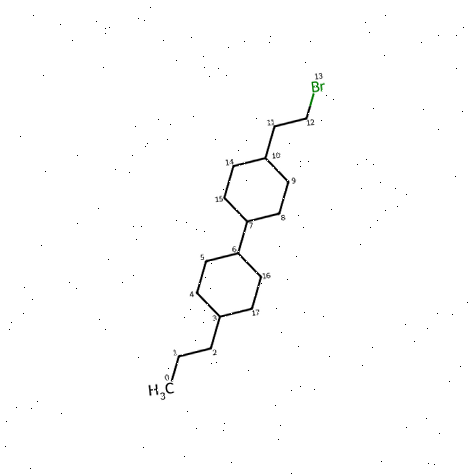 CCCC1CCC(C2CCC(CCBr)CC2)CC1